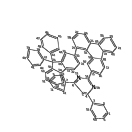 c1ccc(-c2cc(-c3ccccc3)nc(-c3ccc4c5ccccc5c5cccc(-c6ccc7c(c6)C(c6ccccc6)(c6ccccc6)c6ccccc6-7)c5c4c3)n2)cc1